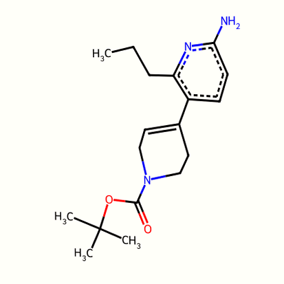 CCCc1nc(N)ccc1C1=CCN(C(=O)OC(C)(C)C)CC1